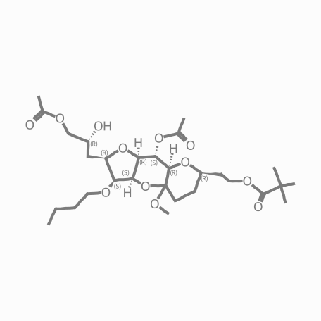 CCCCO[C@@H]1[C@@H]2OC3(OC)CC[C@H](CCOC(=O)C(C)(C)C)O[C@@H]3[C@@H](OC(C)=O)[C@@H]2O[C@@H]1C[C@@H](O)COC(C)=O